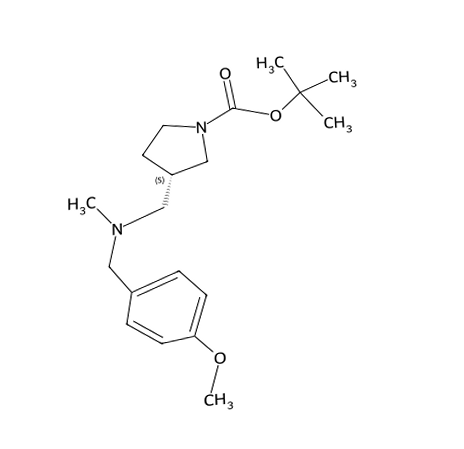 COc1ccc(CN(C)C[C@@H]2CCN(C(=O)OC(C)(C)C)C2)cc1